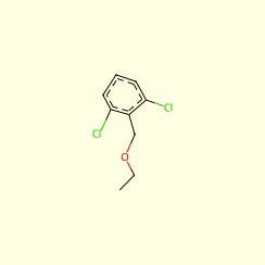 CCOCc1c(Cl)cccc1Cl